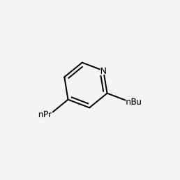 CCCCc1cc(CCC)ccn1